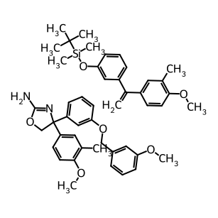 C=C(c1cccc(O[Si](C)(C)C(C)(C)C)c1)c1ccc(OC)c(C)c1.COc1cccc(COc2cccc(C3(c4ccc(OC)c(C)c4)COC(N)=N3)c2)c1